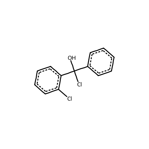 OC(Cl)(c1ccccc1)c1ccccc1Cl